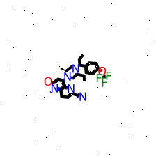 CCC1CN(c2cc(=O)n(C)c3ccc(C#N)nc23)[C@@H](C)CN1C(CC)c1ccc(OC(F)(F)F)cc1